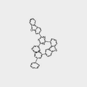 c1ccc(-c2cccc(-c3ccc4sc5cccc(-c6nc(-c7ccccc7)nc(-c7ccc8c(c7)oc7ccccc78)n6)c5c4c3)c2)cc1